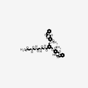 COC(=O)CCNC(=O)CNC(=O)CNC(=O)CNC(=O)c1cc(COc2cc3c(cc2OC)C(=O)N2c4ccccc4C[C@H]2C=N3)cc(COc2cc3c(cc2OC)C(=O)N2c4ccccc4C[C@H]2CN3)c1